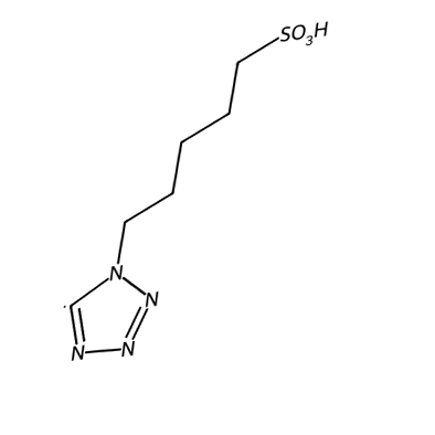 O=S(=O)(O)CCCCCn1[c]nnn1